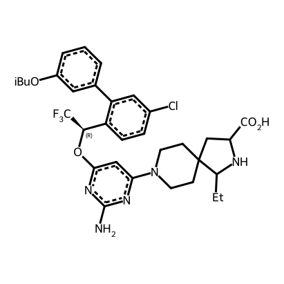 CCC1NC(C(=O)O)CC12CCN(c1cc(O[C@H](c3ccc(Cl)cc3-c3cccc(OCC(C)C)c3)C(F)(F)F)nc(N)n1)CC2